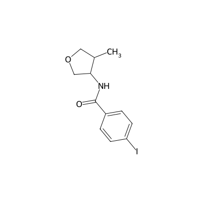 CC1COCC1NC(=O)c1ccc(I)cc1